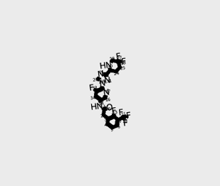 O=C(Cc1cccc(C(F)(F)F)c1F)Nc1cnc(-n2cnc(C3CCC(F)(F)CN3)n2)c(F)c1